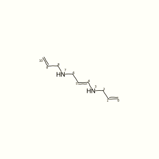 C=CCNC=CCNCC=C